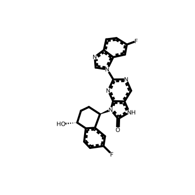 O=c1[nH]c2cnc(-n3cnc4ccc(F)cc43)nc2n1[C@@H]1CC[C@@H](O)c2ccc(F)cc21